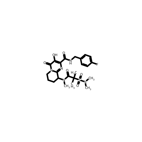 CN(C(=O)C(C)(C)S(=O)(=O)N(C)C)C1CCCn2c1nc(C(=O)NCc1ccc(F)cc1)c(O)c2=O